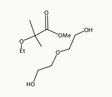 CCOC(C)(C)C(=O)OC.OCCOCCO